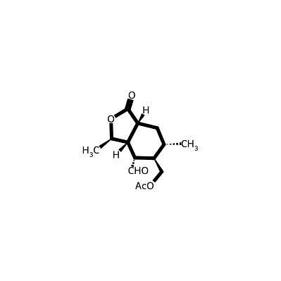 CC(=O)OC[C@H]1[C@H](C=O)[C@@H]2[C@@H](C)OC(=O)[C@@H]2C[C@@H]1C